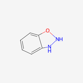 c1ccc2c(c1)NNO2